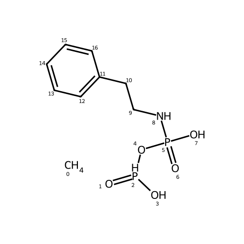 C.O=[PH](O)OP(=O)(O)NCCc1ccccc1